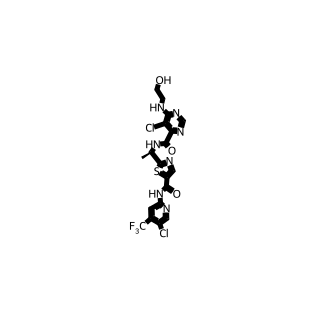 C[C@@H](NC(=O)c1ncnc(NCCO)c1Cl)c1ncc(C(=O)Nc2cc(C(F)(F)F)c(Cl)cn2)s1